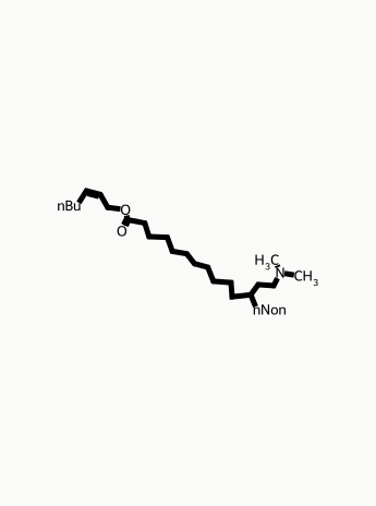 CCCC/C=C\COC(=O)CCCCCCCCCCC(CCCCCCCCC)CCN(C)C